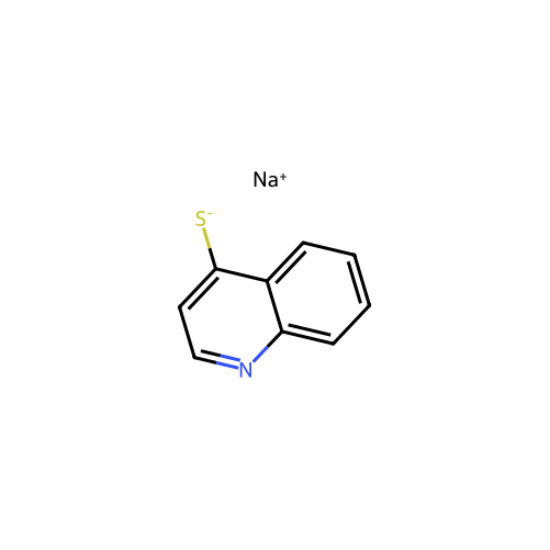 [Na+].[S-]c1ccnc2ccccc12